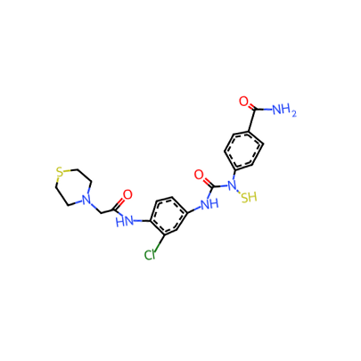 NC(=O)c1ccc(N(S)C(=O)Nc2ccc(NC(=O)CN3CCSCC3)c(Cl)c2)cc1